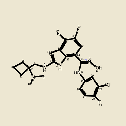 CN(C)C1(CNc2nc3c(F)c(F)cc(/C(=N/O)Nc4ccc(F)c(Cl)c4)c3[nH]2)CCC1